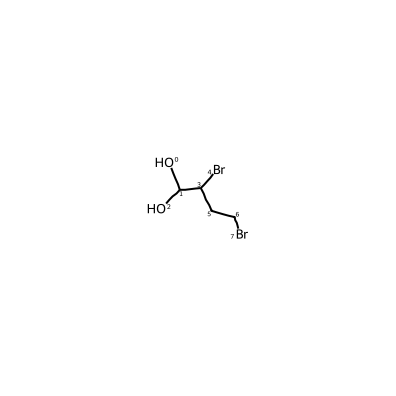 OC(O)C(Br)CCBr